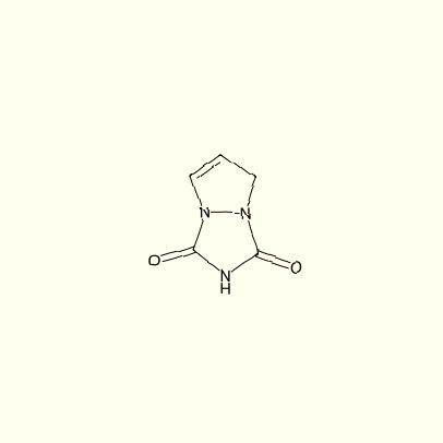 O=c1[nH]c(=O)n2n1C=CC2